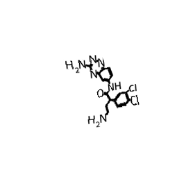 NCCC(C(=O)Nc1ccc2nnc(N)nc2c1)c1ccc(Cl)c(Cl)c1